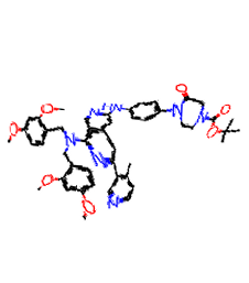 COc1ccc(CN(Cc2ccc(OC)cc2OC)c2nc(-c3cnccc3C)cc3cc(Nc4ccc(N5CCN(C(=O)OC(C)(C)C)CC5=O)cc4)ncc23)c(OC)c1